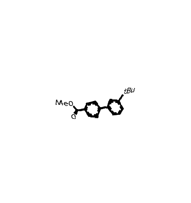 COC(=O)c1ccc(-c2cccc(C(C)(C)C)c2)cc1